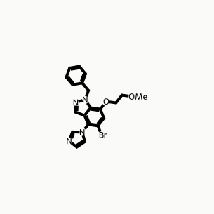 COCCOc1cc(Br)c(-n2ccnc2)c2cnn(Cc3ccccc3)c12